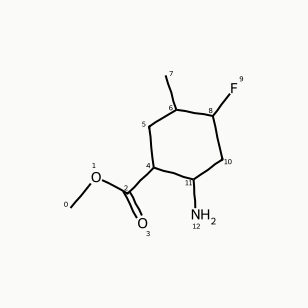 COC(=O)C1CC(C)C(F)CC1N